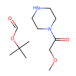 CC(C)(C)OC=O.COCC(=O)N1CCNCC1